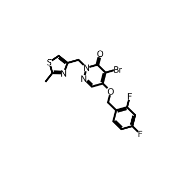 Cc1nc(Cn2ncc(OCc3ccc(F)cc3F)c(Br)c2=O)cs1